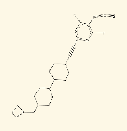 Fc1cc(C#CC2CCC(C3CCC(CC4CCC4)CC3)CC2)cc(F)c1N=C=S